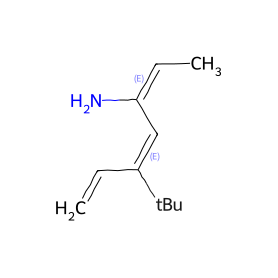 C=C/C(=C\C(N)=C/C)C(C)(C)C